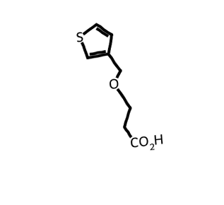 O=C(O)CCOCc1ccsc1